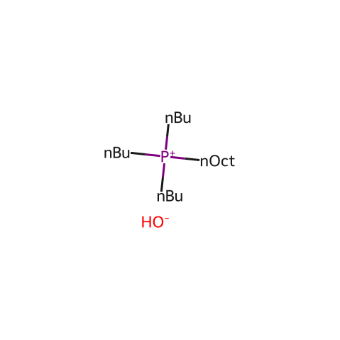 CCCCCCCC[P+](CCCC)(CCCC)CCCC.[OH-]